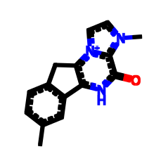 Cc1ccc2c(c1)-c1[nH]c(=O)c3n(C)cc[n+]3c1C2